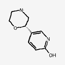 Oc1ccc([C@H]2C[N]CCO2)cn1